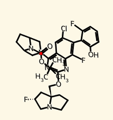 CC(C)(C)OC(=O)N1C2CCC1CN(c1nc(OC[C@@]34CCCN3C[C@H](F)C4)nc3c(F)c(-c4c(O)cccc4F)c(Cl)cc13)C2